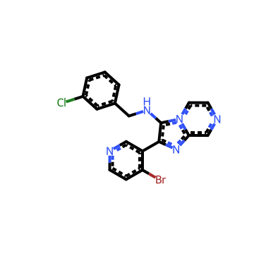 Clc1cccc(CNc2c(-c3cnccc3Br)nc3cnccn23)c1